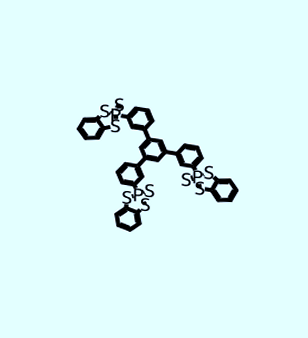 S=P1(c2cccc(-c3cc(-c4cccc(P5(=S)Sc6ccccc6S5)c4)cc(-c4cccc(P5(=S)Sc6ccccc6S5)c4)c3)c2)Sc2ccccc2S1